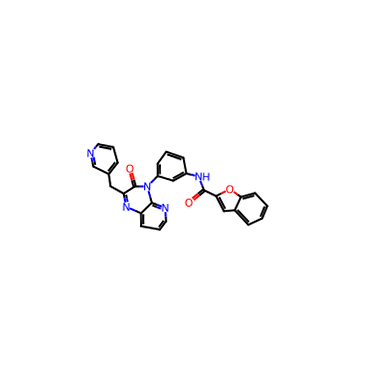 O=C(Nc1cccc(-n2c(=O)c(Cc3cccnc3)nc3cccnc32)c1)c1cc2ccccc2o1